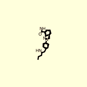 CCCC(=N)Cc1ccc(-n2cc3cccc(C(N)=O)c3n2)cc1